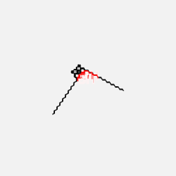 CCCCCCCCCCCCCCCCCCc1cc2c(cc1O)C1(CC2(C)C)CC(C)(C)c2cc(CCCCCCCCCCCCCCCCCC)c(O)cc21